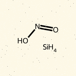 O=NO.[SiH4]